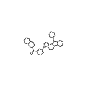 O=C(c1cccc(-n2ccc3c2ccc2c4ccccc4n(-c4ccccc4)c23)c1)c1ccc2ccccc2c1